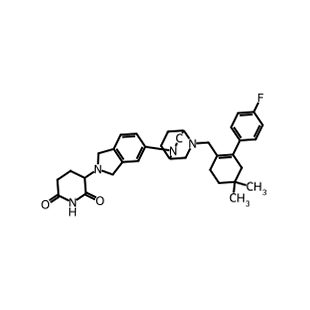 CC1(C)CCC(CN2CC3CCC2CN3c2ccc3c(c2)CN(C2CCC(=O)NC2=O)C3)=C(c2ccc(F)cc2)C1